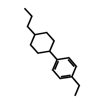 CCCC1CCC(c2[c]cc(CC)[c]c2)CC1